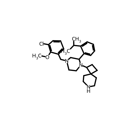 COc1c(Cl)cccc1CN1CCN(C2CCC23CCNCC3)C(c2ccccc2C(C)C)C1